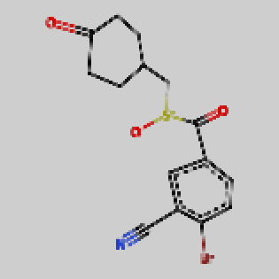 N#Cc1cc(C(=O)[S+]([O-])CC2CCC(=O)CC2)ccc1Br